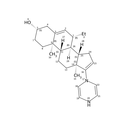 CC[C@H]1C=C2C[C@@H](O)CC[C@]2(C)[C@H]2CC[C@]3(C)C(N4C=CNC=C4)=CC[C@H]3[C@H]12